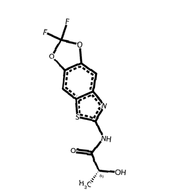 C[C@@H](O)C(=O)Nc1nc2cc3c(cc2s1)OC(F)(F)O3